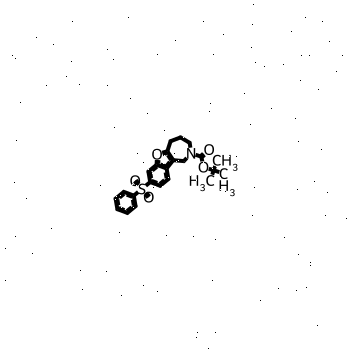 CC(C)(C)OC(=O)N1CCCc2oc3cc(S(=O)(=O)c4ccccc4)ccc3c2C1